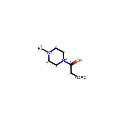 CCN1CCN(C(=O)COC(C)=O)CC1